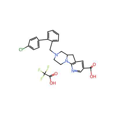 O=C(O)C(F)(F)F.O=C(O)c1cnc2c(c1)CC1CN(Cc3ccccc3-c3ccc(Cl)cc3)CCN21